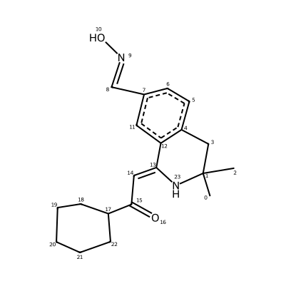 CC1(C)Cc2ccc(/C=N/O)cc2/C(=C/C(=O)C2CCCCC2)N1